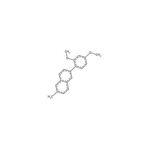 COc1ccc(-c2ccc3cc(C)ccc3c2)c(OC)c1